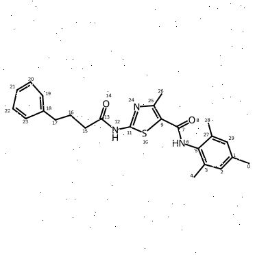 Cc1cc(C)c(NC(=O)c2sc(NC(=O)CCCc3ccccc3)nc2C)c(C)c1